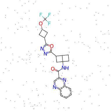 O=C(NC12CCC1C(c1nnc(C3CC(OC(F)(F)F)C3)o1)C2)c1cnc2ccccc2n1